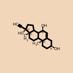 C#C[C@]1(O)CCC2C3C(CC[C@@]21C)[C@@]1(C)CC[C@H](O)CC1=C[C@@H]3O